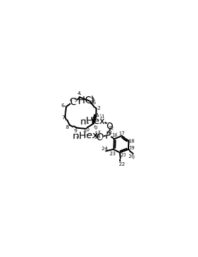 C1=CCCCCCCCCC1.CCCCCCOP(OCCCCCC)c1ccc(C)c(C)c1C.Cl